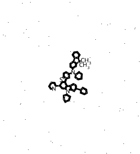 CC1(C)c2ccccc2-c2ccc(N(c3ccccc3)c3ccc4sc5c(-c6ccccn6)cc6c(c7ccc(-c8ccccc8)cc7n6-c6ccccc6)c5c4c3)cc21